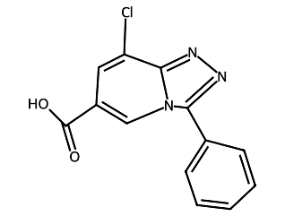 O=C(O)c1cc(Cl)c2nnc(-c3ccccc3)n2c1